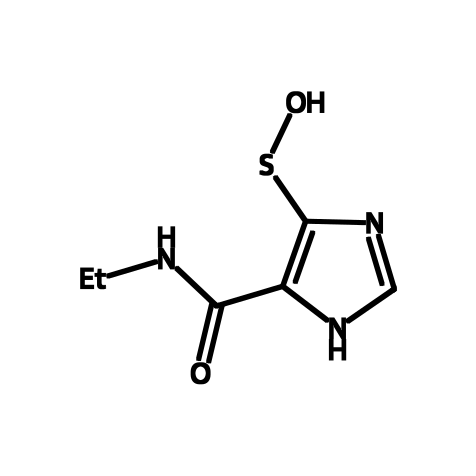 CCNC(=O)c1[nH]cnc1SO